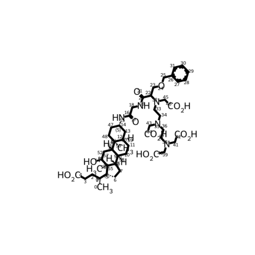 C[C@H](CCC(=O)O)[C@H]1CC[C@H]2[C@@H]3CC[C@@H]4C[C@@H](NC(=O)CNC(=O)C(COCc5ccccc5)N(CCN(CCN(CC(=O)O)CC(=O)O)CC(=O)O)CC(=O)O)CC[C@]4(C)[C@H]3C[C@H](O)[C@]12C